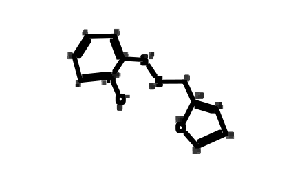 [O-][n+]1ccccc1SSCc1ccco1